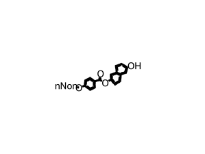 CCCCCCCCCOc1ccc(C(=O)Oc2ccc3cc(O)ccc3c2)cc1